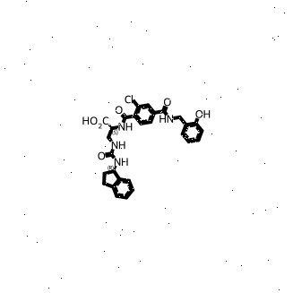 O=C(NC[C@H](NC(=O)c1ccc(C(=O)NCc2ccccc2O)cc1Cl)C(=O)O)N[C@@H]1CCc2ccccc21